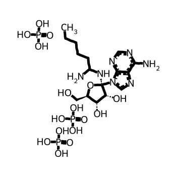 CCCCCC(N)N[C@@]1(n2cnc3c(N)ncnc32)O[C@H](CO)[C@@H](O)[C@H]1O.O=P(O)(O)O.O=P(O)(O)O.O=P(O)(O)O